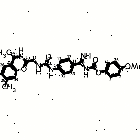 COc1ccc(OC(=O)NC(=N)c2ccc(NC(=O)NCC(=O)N[C@@H](C)c3ccc(C)cc3)cc2)cc1